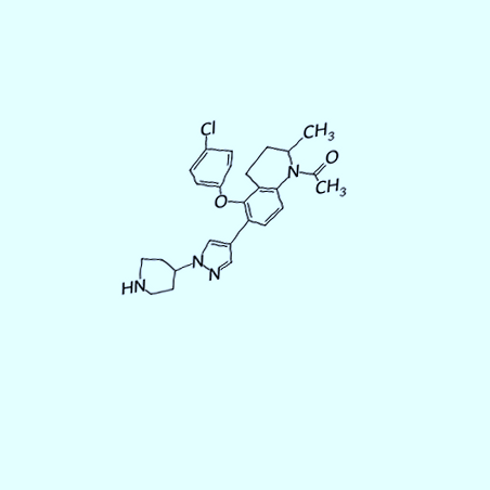 CC(=O)N1c2ccc(-c3cnn(C4CCNCC4)c3)c(Oc3ccc(Cl)cc3)c2CCC1C